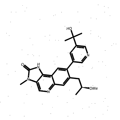 CO[C@@H](C)Cc1cc2ncc3c([nH]c(=O)n3C)c2cc1-c1cncc(C(C)(C)O)c1